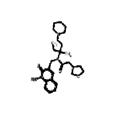 CCC(C)(CCN1CCCCC1)N(Cc1cc2ccccc2n(C)c1=O)C(=O)CC1CCOC1